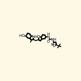 Cc1c(Cc2cc3cc(NC(=O)Nc4cc(C(C)(C)C)on4)ccc3o2)[nH]c2ccc(O)cc12